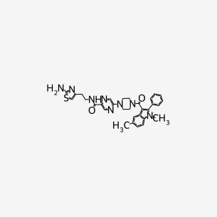 Cc1ccc2c(c1)c(C(=O)N1CCN(c3cnc(C(=O)NCCc4csc(N)n4)cn3)CC1)c(-c1ccccc1)n2C